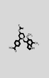 COc1cc(C)c2[nH]ccc2c1CN1CCC(OC(F)F)CC1c1ccc(C(=O)O)cc1